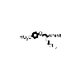 C=CCOC(CCCCC)CCOc1ccc(C(=O)O)cc1